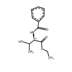 CCOC(=O)[C@H](NC(=O)c1ccccc1)C(C)O